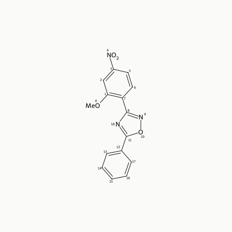 COc1cc([N+](=O)[O-])ccc1-c1noc(-c2ccccc2)n1